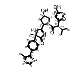 Cc1ncsc1-c1ccc([C@]2(C)NC(C3C[C@@H](O)CN3C(=O)[C@@H](c3cc(O)no3)C(C)C)=NC2=O)cc1